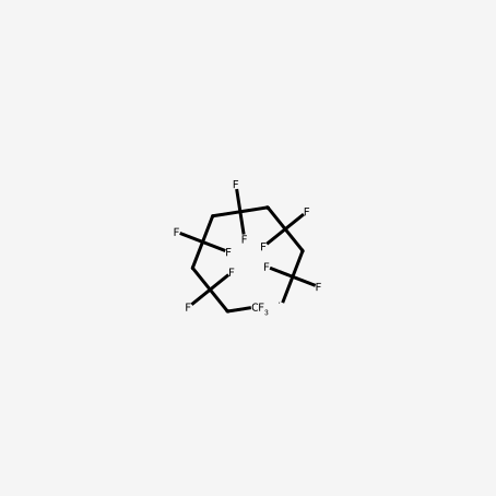 [CH2]C(F)(F)CC(F)(F)CC(F)(F)CC(F)(F)CC(F)(F)CC(F)(F)F